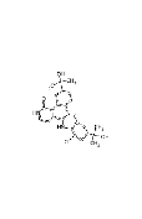 CC(C)(O)c1cc(Cl)c(Nc2nc3ccc(C(C)(C)O)cc3c3c(=O)[nH]ccc23)c(Cl)c1